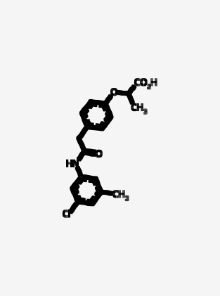 Cc1cc(Cl)cc(NC(=O)Cc2ccc(OC(C)C(=O)O)cc2)c1